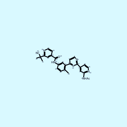 CC(=O)Nc1cc(-c2nccc(-c3cc(NC(=O)c4ccnc(C(C)(C)C#N)c4)ccc3C)n2)ccn1